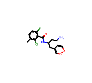 Cc1ccc(F)c(C(=O)NC(CCN)CC2=COOC=C2)c1Cl